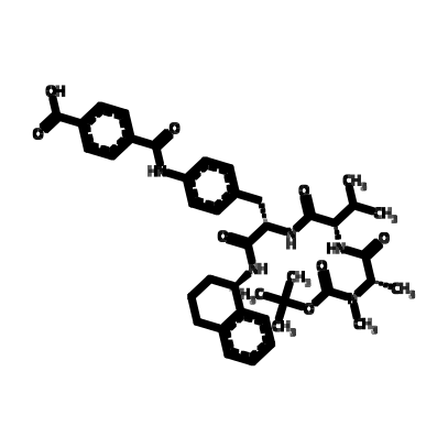 CC(C)[C@H](NC(=O)[C@H](C)N(C)C(=O)OC(C)(C)C)C(=O)N[C@@H](Cc1ccc(NC(=O)c2ccc(C(=O)O)cc2)cc1)C(=O)N[C@@H]1CCCc2ccccc21